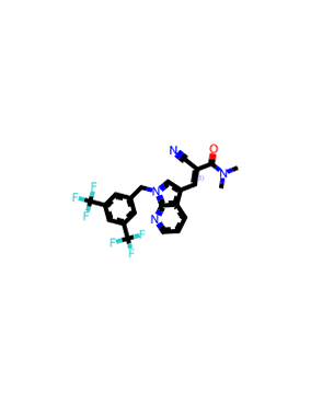 CN(C)C(=O)/C(C#N)=C/c1cn(Cc2cc(C(F)(F)F)cc(C(F)(F)F)c2)c2ncccc12